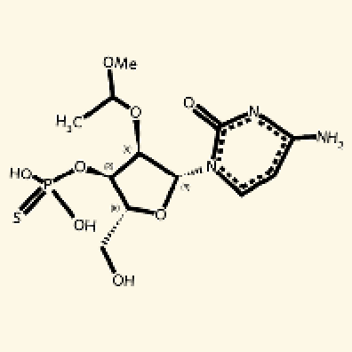 COC(C)O[C@@H]1[C@H](OP(O)(O)=S)[C@@H](CO)O[C@H]1n1ccc(N)nc1=O